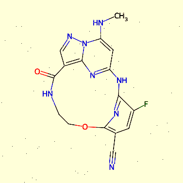 CNc1cc2nc3c(cnn13)C(=O)NCCOc1nc(c(F)cc1C#N)N2